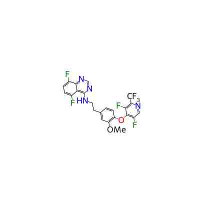 COc1cc(CCNc2ncnc3c(F)ccc(F)c23)ccc1Oc1c(F)cnc(C(F)(F)F)c1F